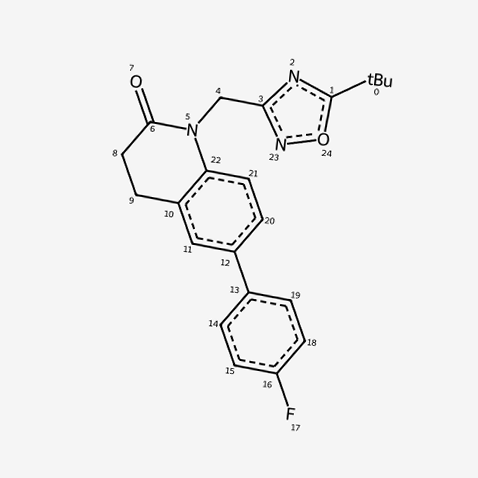 CC(C)(C)c1nc(CN2C(=O)CCc3cc(-c4ccc(F)cc4)ccc32)no1